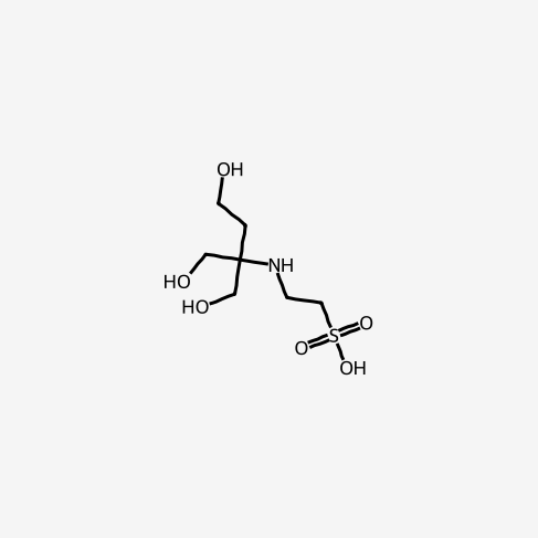 O=S(=O)(O)CCNC(CO)(CO)CCO